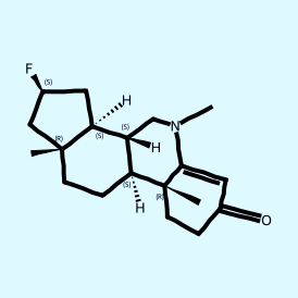 CN1C[C@H]2[C@@H]3C[C@H](F)C[C@@]3(C)CC[C@@H]2[C@@]2(C)CCC(=O)C=C12